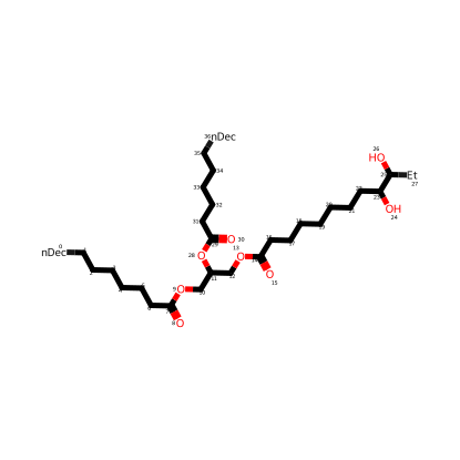 CCCCCCCCCCCCCCCCC(=O)OCC(COC(=O)CCCCCCCC(O)C(O)CC)OC(=O)CCCCCCCCCCCCCCC